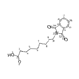 O=C(O)CCCCCCCCN1C(=O)c2ccccc2C1=O